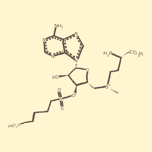 C[S@@+](CC[C@H](N)C(=O)O)C[C@H]1O[C@@H](n2cnc3c(N)ncnc32)[C@H](O)[C@@H]1OS(=O)(=O)CCCCS(=O)(=O)O